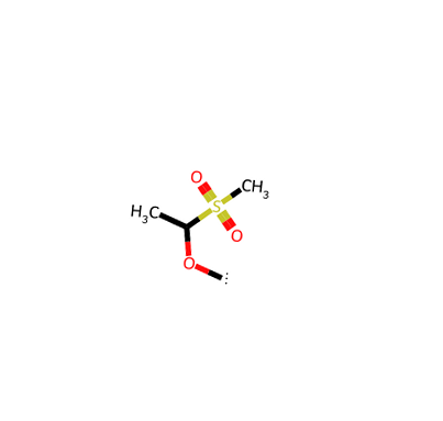 [C]OC(C)S(C)(=O)=O